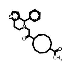 CC(=O)C1CCCCC(C(=O)CN2CCc3sccc3C2c2ccccc2)CCCC1